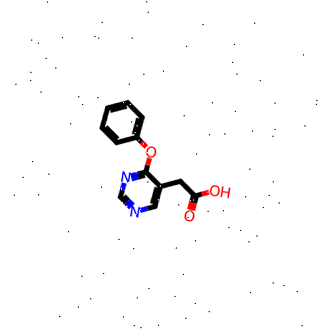 O=C(O)Cc1cncnc1Oc1ccccc1